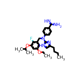 CCCCc1c[nH]c(N(Cc2cc(OCC)cc(OC(C)C)c2F)c2ccc(C(=N)N)cc2)n1